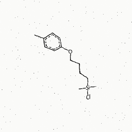 Cc1ccc(OCCCC[Si](C)(C)Cl)cc1